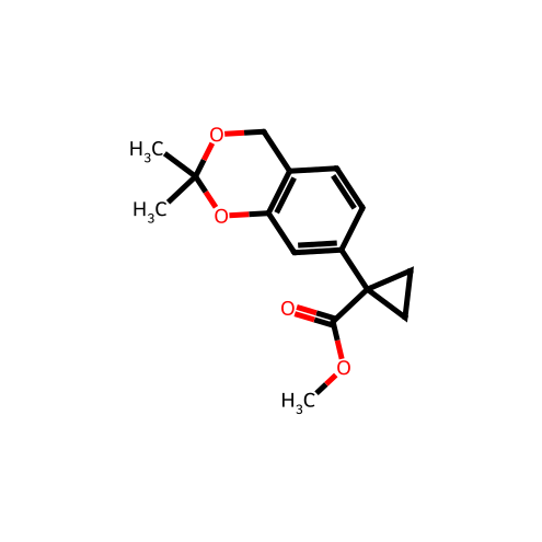 COC(=O)C1(c2ccc3c(c2)OC(C)(C)OC3)CC1